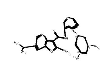 CC(C)c1cnc2c(C(=O)Nc3cnccc3[C@H]3C[C@@H](C)C[C@@H](N)C3)c(N)oc2c1